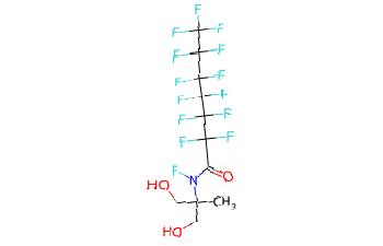 CC(CO)(CO)N(F)C(=O)C(F)(F)C(F)(F)C(F)(F)C(F)(F)C(F)(F)C(F)(F)F